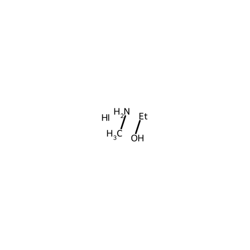 CCO.CN.I